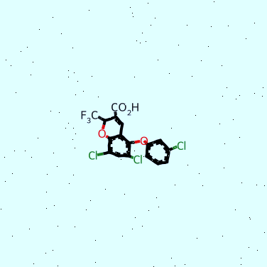 O=C(O)C1=Cc2c(Oc3cccc(Cl)c3)c(Cl)cc(Cl)c2OC1C(F)(F)F